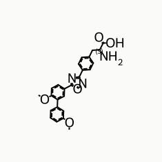 COc1cccc(-c2cc(-c3nc(-c4ccc(C[C@H](N)C(=O)O)cc4)no3)ccc2OC)c1